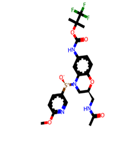 COc1ccc([S@@+]([O-])N2C[C@H](CNC(C)=O)Oc3ccc(NC(=O)OC(C)(C)C(F)(F)F)cc32)cn1